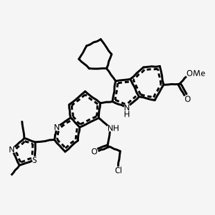 COC(=O)c1ccc2c(C3CCCCC3)c(-c3ccc4nc(-c5sc(C)nc5C)ccc4c3NC(=O)CCl)[nH]c2c1